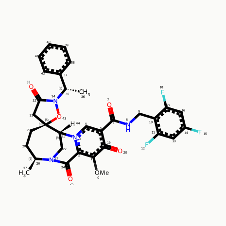 COc1c2n(cc(C(=O)NCc3c(F)cc(F)cc3F)c1=O)[C@@H]1CN(C2=O)[C@@H](C)CC[C@]12CC(=O)N([C@@H](C)c1ccccc1)O2